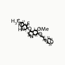 COc1cc2c(Oc3cnc4[nH]c(C)cc4c3F)ccnc2cc1OCCCN1CCOCC1